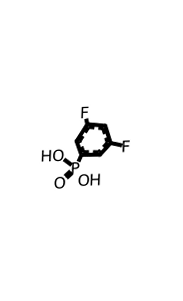 O=P(O)(O)c1cc(F)cc(F)c1